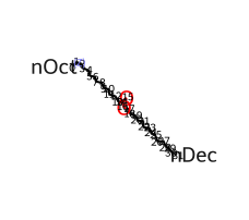 CCCCCCCC/C=C\CCCCCCCCCCCC(=O)OCCCCCCCCCCCCCCCCCCCCCCCC